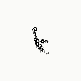 CCc1ccc([C@H]2C[C@@]3(C)C(CCCOC4CCCCO4)CC[C@H]3[C@@H]3CC[C@H]4CC5(CCC4=C32)OCC(C)(C)CO5)cc1